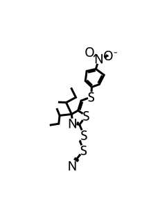 CCC(C)C1(C(C)CC)N=C(SCSC#N)SC1=CSc1ccc([N+](=O)[O-])cc1